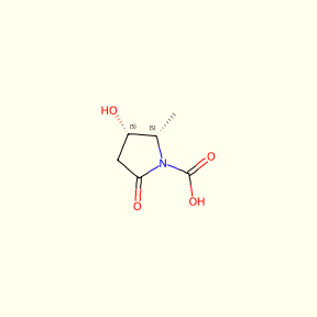 C[C@H]1[C@@H](O)CC(=O)N1C(=O)O